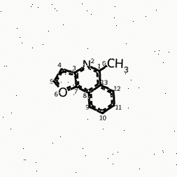 Cc1nc2ccoc2c2ccccc12